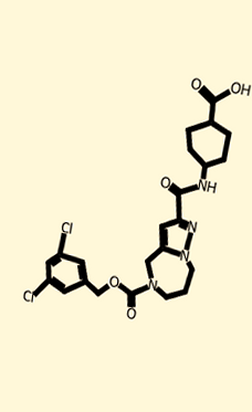 O=C(NC1CCC(C(=O)O)CC1)c1cc2n(n1)CCCN(C(=O)OCc1cc(Cl)cc(Cl)c1)C2